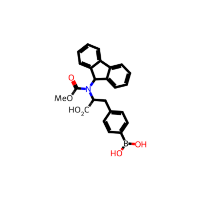 COC(=O)N(C(Cc1ccc(B(O)O)cc1)C(=O)O)C1c2ccccc2-c2ccccc21